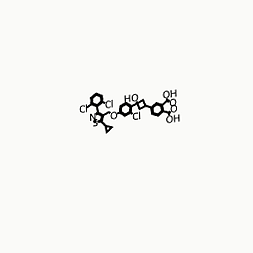 O=C(O)c1ccc(C2CC(O)(c3ccc(OCc4c(-c5c(Cl)cccc5Cl)nsc4C4CC4)cc3Cl)C2)cc1C(=O)O